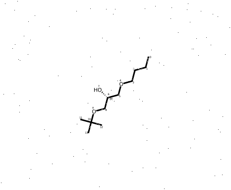 CCCCOC[C@@H](O)COC(C)(C)C